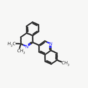 Cc1ccc2cc(C3=NC(C)(C)Cc4ccccc43)cnc2c1